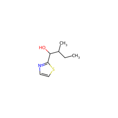 CCC(C)C(O)c1nccs1